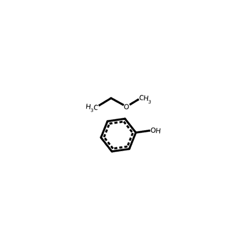 CCOC.Oc1ccccc1